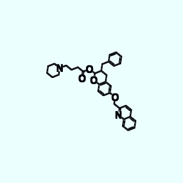 O=C(CCCN1CCCCC1)OC1Oc2ccc(OCc3ccc4ccccc4n3)cc2CC1Cc1ccccc1